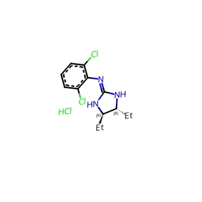 CC[C@H]1NC(=Nc2c(Cl)cccc2Cl)N[C@@H]1CC.Cl